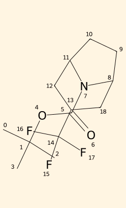 CC(C)(C)OC(=O)N1C2CCC1CC(C(F)(F)F)C2